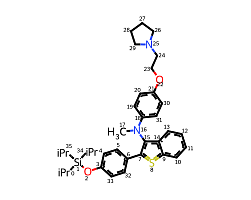 CC(C)[Si](Oc1ccc(-c2sc3ccccc3c2N(C)c2ccc(OCCN3CCCC3)cc2)cc1)(C(C)C)C(C)C